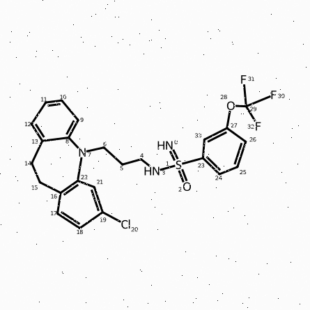 N=S(=O)(NCCCN1c2ccccc2CCc2ccc(Cl)cc21)c1cccc(OC(F)(F)F)c1